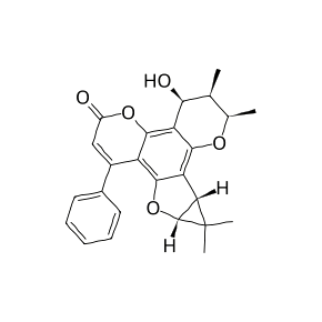 C[C@@H]1[C@H](O)c2c(c3c(c4c(-c5ccccc5)cc(=O)oc24)O[C@@H]2[C@H]3C2(C)C)O[C@@H]1C